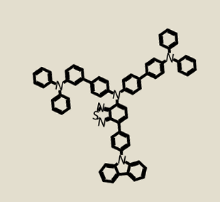 c1ccc(N(c2ccccc2)c2ccc(-c3ccc(N(c4ccc(-c5cccc(N(c6ccccc6)c6ccccc6)c5)cc4)c4ccc(-c5ccc(-n6c7ccccc7c7ccccc76)cc5)c5nsnc45)cc3)cc2)cc1